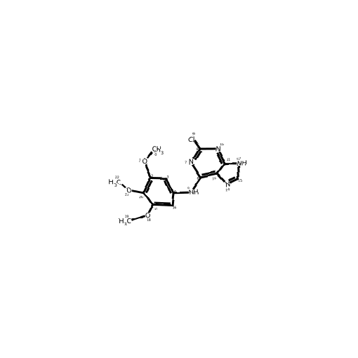 COc1cc(Nc2nc(Cl)nc3[nH]cnc23)cc(OC)c1OC